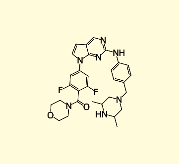 CC1CN(Cc2ccc(Nc3ncc4ccn(-c5cc(F)c(C(=O)N6CCOCC6)c(F)c5)c4n3)cc2)CC(C)N1